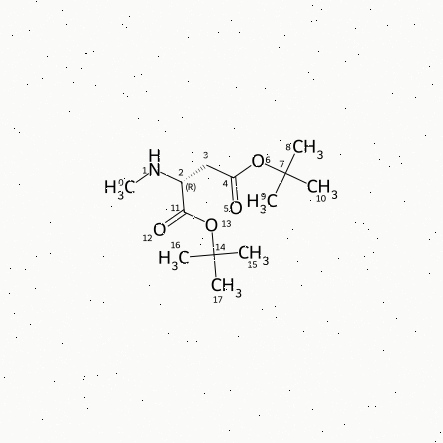 CN[C@H](CC(=O)OC(C)(C)C)C(=O)OC(C)(C)C